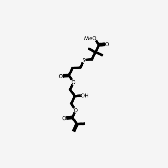 C=C(C)C(=O)OCC(O)COC(=O)CCSCC(C)(C)C(=O)OC